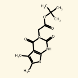 Cc1sc2[nH]c(=O)n(CC(=O)OC(C)(C)C)c(=O)c2c1C